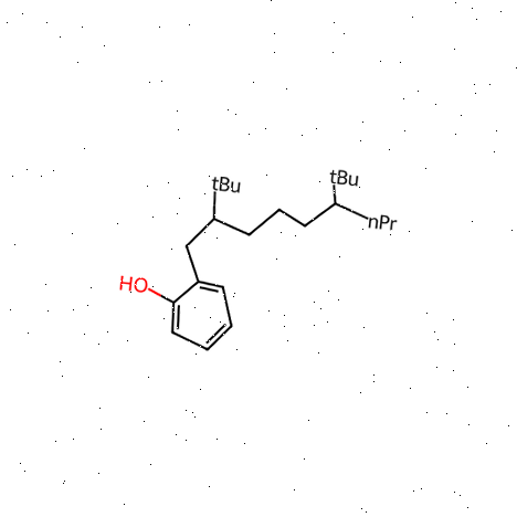 CCCC(CCCC(Cc1ccccc1O)C(C)(C)C)C(C)(C)C